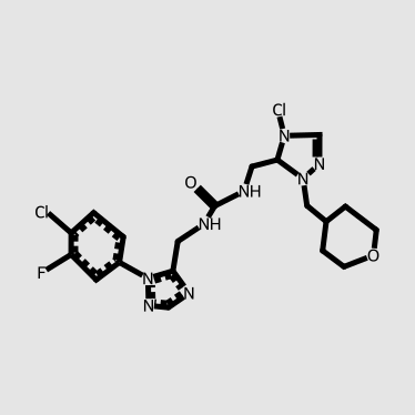 O=C(NCc1ncnn1-c1ccc(Cl)c(F)c1)NCC1N(Cl)C=NN1CC1CCOCC1